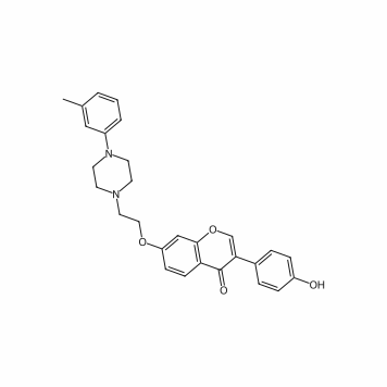 Cc1cccc(N2CCN(CCOc3ccc4c(=O)c(-c5ccc(O)cc5)coc4c3)CC2)c1